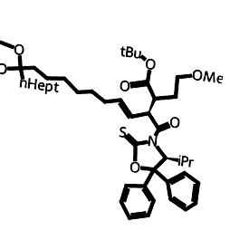 CCCCCCCC1(CCCCCC/C=C/[C@H](C(=O)N2C(=S)OC(c3ccccc3)(c3ccccc3)[C@@H]2C(C)C)C(CCOC)C(=O)OC(C)(C)C)OCCO1